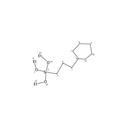 CCO[Si](CCC[C]1CCCCC1)(OCC)OCC